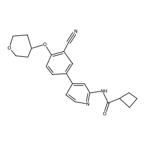 N#Cc1cc(-c2ccnc(NC(=O)C3CCC3)c2)ccc1OC1CCOCC1